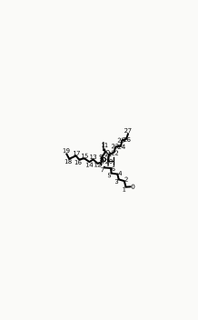 CCCCCCCC[PH](CCI)(CCCCCCCC)CCCCCCCC